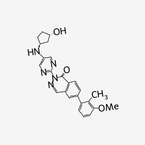 COc1cccc(-c2ccc3c(=O)n(-c4ncc(N[C@H]5CC[C@H](O)C5)cn4)ncc3c2)c1C